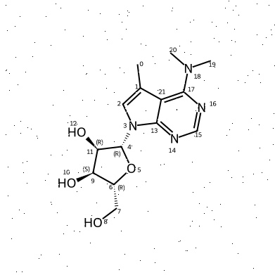 Cc1cn([C@@H]2O[C@H](CO)[C@@H](O)[C@H]2O)c2ncnc(N(C)C)c12